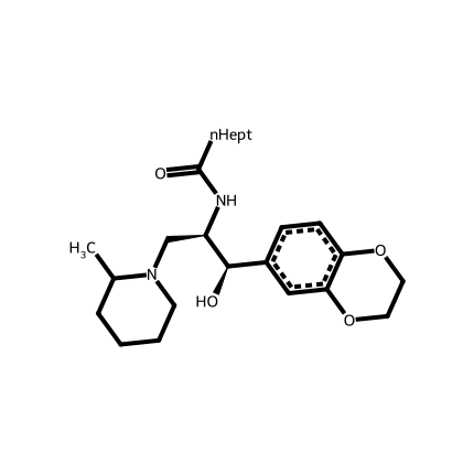 CCCCCCCC(=O)N[C@H](CN1CCCCC1C)[C@H](O)c1ccc2c(c1)OCCO2